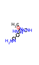 CCOc1nc(N2CCNCC2)nc2c1[nH]c1cc(-c3ccc(N)nc3)ccc12